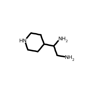 NCC(N)C1CCNCC1